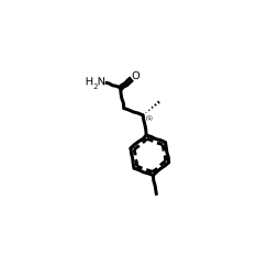 Cc1ccc([C@@H](C)CC(N)=O)cc1